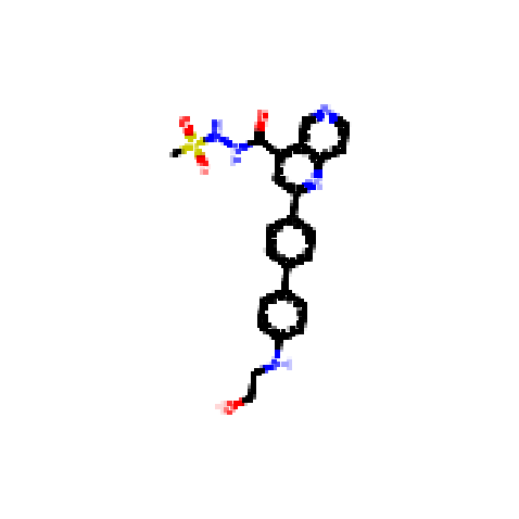 CS(=O)(=O)NNC(=O)c1cc(-c2ccc(-c3ccc(NCCO)cc3)cc2)nc2ccncc12